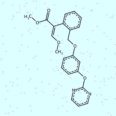 CO/C=C(/C(=O)OC)c1ccccc1COc1cccc(Oc2ncccn2)c1